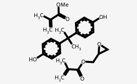 C=C(C)C(=O)OC.C=C(C)C(=O)OCC1CO1.CC(C)(c1ccc(O)cc1)c1ccc(O)cc1